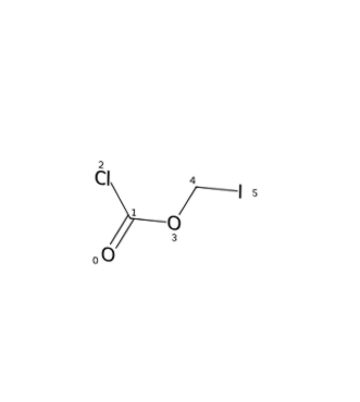 O=C(Cl)OCI